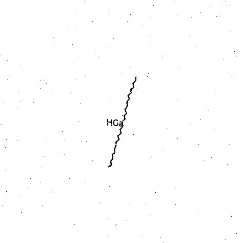 CCCCCCCCCCCCC[CH2][GaH][CH2]CCCCCCCCCCCCC